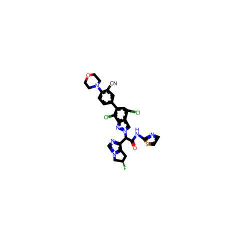 N#Cc1cc(-c2cc(Cl)c3cn(C(C(=O)Nc4nccs4)c4ncn5c4C[C@@H](F)C5)nc3c2Cl)ccc1N1CCOCC1